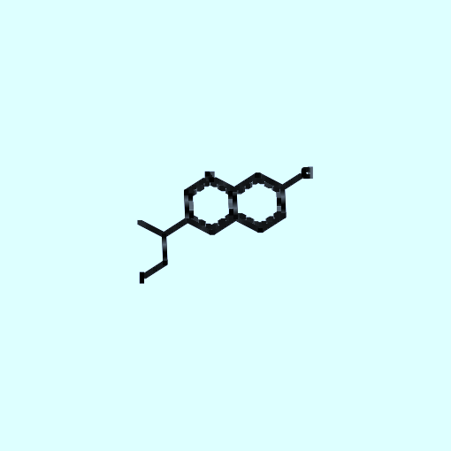 CC(CI)c1cnc2cc(Cl)ccc2c1